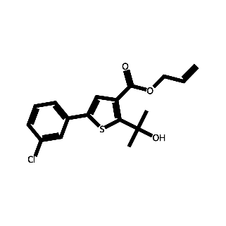 C=CCOC(=O)c1cc(-c2cccc(Cl)c2)sc1C(C)(C)O